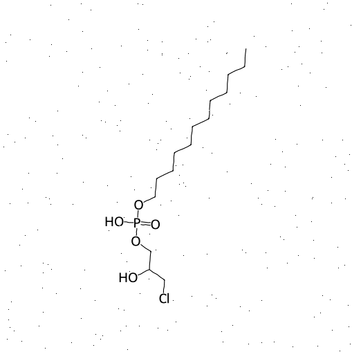 CCCCCCCCCCCCOP(=O)(O)OCC(O)CCl